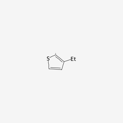 CCc1[c]scc1